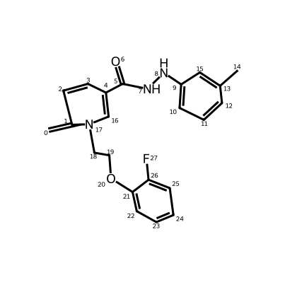 C=C1C=CC(C(=O)NNc2cccc(C)c2)=CN1CCOc1ccccc1F